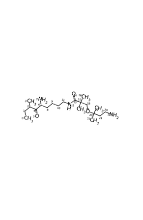 CCC(C)C(=O)C(N)CCCCNC(=O)C(C)(C)COC(C)(C)CCN